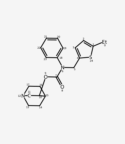 CCc1ccc(CN(C(=O)OC2CN3CCC2CC3)c2ccccc2)s1